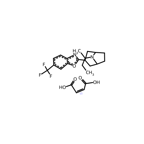 CCC(C)N1C2CCC1CC(c1nc3ccc(C(F)(F)F)cc3o1)C2.O=C(O)/C=C\C(=O)O